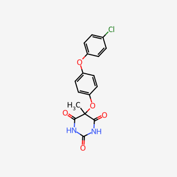 CC1(Oc2ccc(Oc3ccc(Cl)cc3)cc2)C(=O)NC(=O)NC1=O